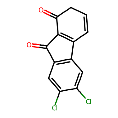 O=C1CC=CC2=C1C(=O)c1cc(Cl)c(Cl)cc12